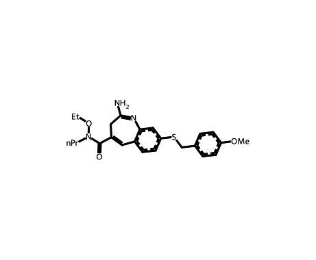 CCCN(OCC)C(=O)C1=Cc2ccc(SCc3ccc(OC)cc3)cc2N=C(N)C1